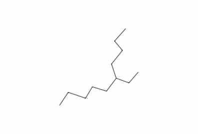 CC[CH]CCC(CC)CCCC